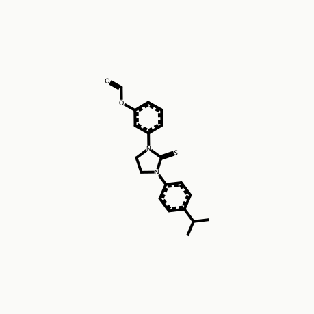 CC(C)c1ccc(N2CCN(c3cccc(OC=O)c3)C2=S)cc1